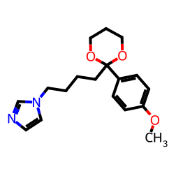 COc1ccc(C2(CCCCn3ccnc3)OCCCO2)cc1